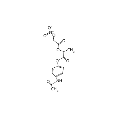 CC(=O)Nc1ccc(OC(=O)C(C)OC(=O)CO[N+](=O)[O-])cc1